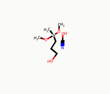 CO[Si](C)(CCCO)OC.N#CO